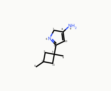 CC1CC(C)(C2=NCC(N)=C2)C1